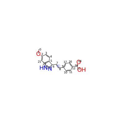 COc1ccc2c(/C=C/c3ccc(C(=O)O)cc3)n[nH]c2c1